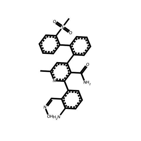 Cc1cc(-c2ccccc2-c2ccccc2S(C)(=O)=O)c(C(N)=O)c(-c2cccc(N)c2/C=N\O)n1